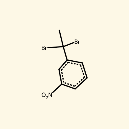 CC(Br)(Br)c1cccc([N+](=O)[O-])c1